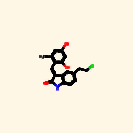 Cc1cc(O)cc(O)c1C=C1C(=O)Nc2ccc(CCCl)cc21